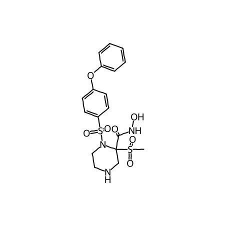 CS(=O)(=O)C1(C(=O)NO)CNCCN1S(=O)(=O)c1ccc(Oc2ccccc2)cc1